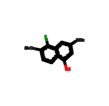 CNc1cc(O)c2ccc(OC)c(F)c2c1